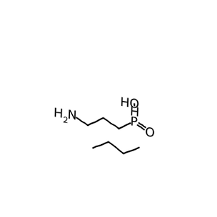 CCCC.NCCC[PH](=O)O